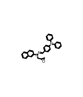 C(=N\N(CC1CO1)c1ccc2ccccc2c1)/c1ccc(N(c2ccccc2)c2ccccc2)cc1